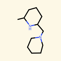 CC1CCCC(CN2CCCCC2)N1